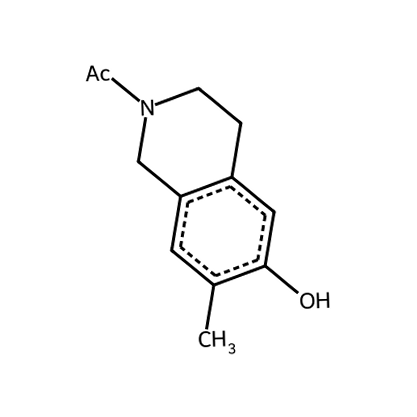 CC(=O)N1CCc2cc(O)c(C)cc2C1